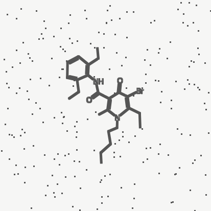 CCCCCn1c(C)c(C(=O)Nc2c(CC)cccc2CC)c(=O)c(Br)c1CC